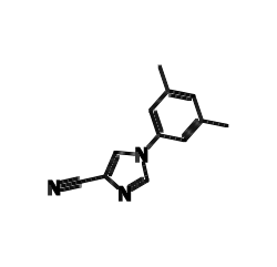 Cc1cc(C)cc(-n2cnc(C#N)c2)c1